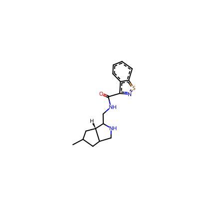 CC1CC2CNC(CNC(=O)c3nsc4ccccc34)[C@H]2C1